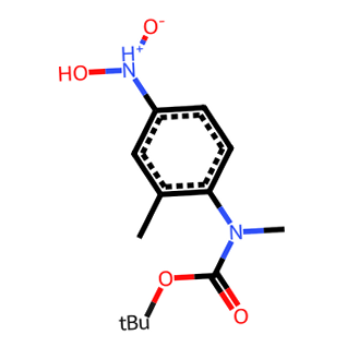 Cc1cc([NH+]([O-])O)ccc1N(C)C(=O)OC(C)(C)C